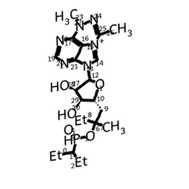 CCC(CC)[PH](=O)OC(C)(CC)C[C@H]1OC(n2c[n+]3c4c(ncnc42)N(C)N=C3C)[C@H](O)[C@@H]1O